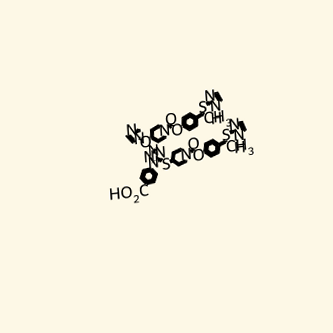 CC(Sc1ncc[nH]1)c1ccc(OC(=O)N2CCC(On3ccnc3)CC2)cc1.CC(Sc1ncc[nH]1)c1ccc(OC(=O)N2CCC(Sc3nnnn3-c3ccc(C(=O)O)cc3)CC2)cc1